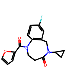 O=C(c1ccco1)N1CCC(=O)N(C2CC2)Cc2cc(F)ccc21